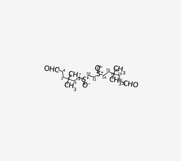 CC(C)(CCC=O)CC[S+]([O-])CC[S+]([O-])CCC(C)(C)CCC=O